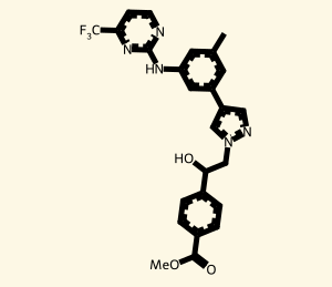 COC(=O)c1ccc(C(O)Cn2cc(-c3cc(C)cc(Nc4nccc(C(F)(F)F)n4)c3)cn2)cc1